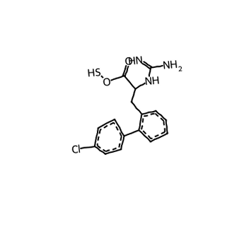 N=C(N)NC(Cc1ccccc1-c1ccc(Cl)cc1)C(=O)OS